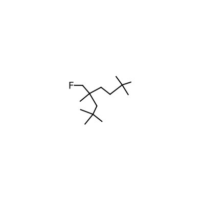 CC(C)(C)CCC(C)(CF)CC(C)(C)C